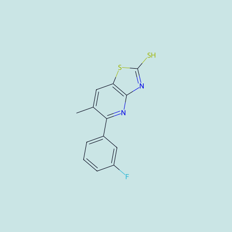 Cc1cc2sc(S)nc2nc1-c1cccc(F)c1